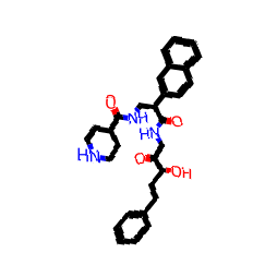 O=C(CNC(=O)C(CNC(=O)C1CCNCC1)c1ccc2ccccc2c1)C(O)CCc1ccccc1